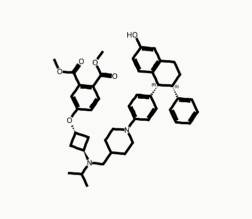 COC(=O)c1ccc(O[C@H]2C[C@H](N(CC3CCN(c4ccc([C@@H]5c6ccc(O)cc6CC[C@@H]5c5ccccc5)cc4)CC3)C(C)C)C2)cc1C(=O)OC